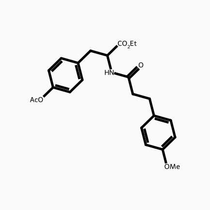 CCOC(=O)C(Cc1ccc(OC(C)=O)cc1)NC(=O)CCc1ccc(OC)cc1